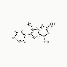 Oc1cc(O)c2oc(-c3ccccc3)c(O)c2c1